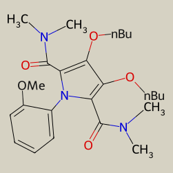 CCCCOc1c(OCCCC)c(C(=O)N(C)C)n(-c2ccccc2OC)c1C(=O)N(C)C